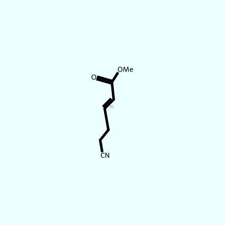 COC(=O)/C=C/CCC#N